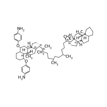 CC(CCC[C@@H](C)[C@H]1CC[C@H]2[C@@H]3CC(Oc4ccc(N)cc4)C4CCCC(Oc5ccc(N)cc5)[C@]4(C)[C@H]3CC[C@]12C)CCC(C)CCC[C@@H](C)[C@H]1CC[C@H]2[C@@H]3CCC4CCCC[C@]4(C)[C@H]3CC[C@]12C